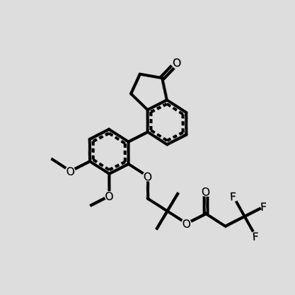 COc1ccc(-c2cccc3c2CCC3=O)c(OCC(C)(C)OC(=O)CC(F)(F)F)c1OC